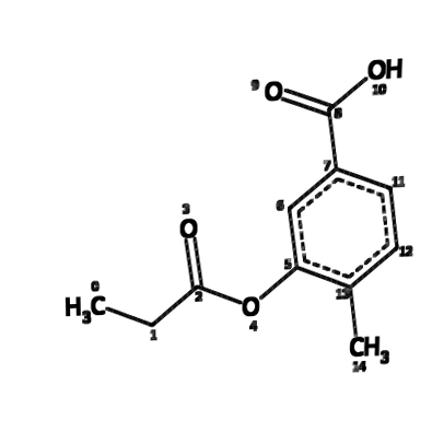 CCC(=O)Oc1cc(C(=O)O)ccc1C